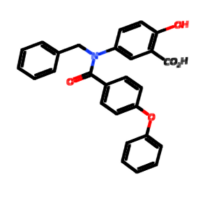 O=C(O)c1cc(N(Cc2ccccc2)C(=O)c2ccc(Oc3ccccc3)cc2)ccc1O